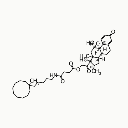 C[C@@H]1C[C@H]2[C@@H]3CCC4=CC(=O)C=C[C@]4(C)[C@@]3(F)[C@@H](O)C[C@]2(C)[C@@]1(O)C(=O)COC(=O)CCC(=O)NCCCCCC1(C)CCCCCCCCC1